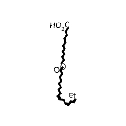 CC/C=C\C/C=C\C/C=C\CCCCCCCC(=O)OCCCCCCCCCCCCC(=O)O